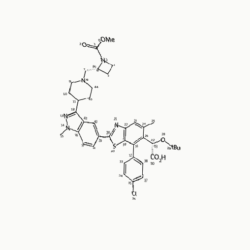 COC(=O)N1CC[C@@H]1CN1CCC(c2nn(C)c3ccc(-c4nc5cc(C)c([C@H](OC(C)(C)C)C(=O)O)c(-c6ccc(Cl)cc6)c5s4)cc23)CC1